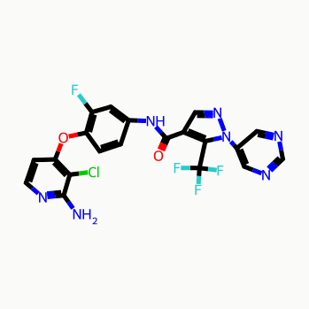 Nc1nccc(Oc2ccc(NC(=O)c3cnn(-c4cncnc4)c3C(F)(F)F)cc2F)c1Cl